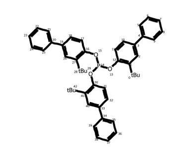 CC(C)(C)c1cc(-c2ccccc2)ccc1OP(Oc1ccc(-c2ccccc2)cc1C(C)(C)C)Oc1ccc(-c2ccccc2)cc1C(C)(C)C